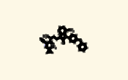 CN(CCn1c(=O)n(-c2ccc(Oc3ccccc3)cc2)c2c(N)ncnc21)C(=O)/C(C#N)=C\C1(N)CC1